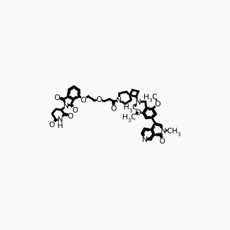 COc1cc(-c2cn(C)c(=O)c3cnccc23)cc(OC)c1CN(C)C1CCC12CCN(C(=O)CCOCCOc1cccc3c1C(=O)N(C1CCC(=O)NC1=O)C3=O)CC2